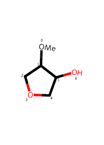 COC1COCC1O